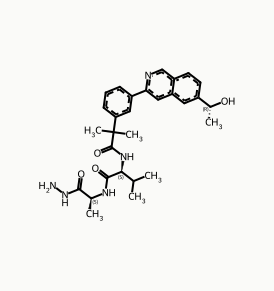 CC(C)[C@H](NC(=O)C(C)(C)c1cccc(-c2cc3cc([C@@H](C)O)ccc3cn2)c1)C(=O)N[C@@H](C)C(=O)NN